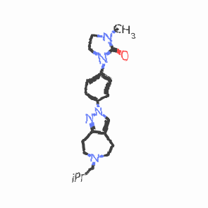 CC(C)CN1CCc2cn(-c3ccc(N4CCN(C)C4=O)cc3)nc2CC1